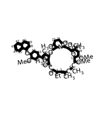 CCC1/C=C(\C)CC(C)CC(OC)C2OC(O)(C(=O)C(=O)N3CCCCC3C(=O)OC(C(C)=CC3CCC(Oc4cccc5ccccc45)C(OC)C3)C(C)C(O)CC1=O)C(C)CC2OC